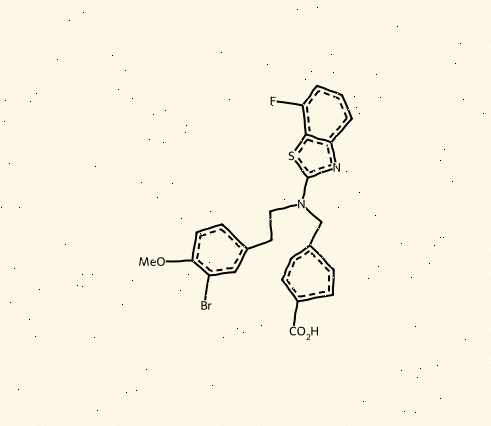 COc1ccc(CCN(Cc2ccc(C(=O)O)cc2)c2nc3cccc(F)c3s2)cc1Br